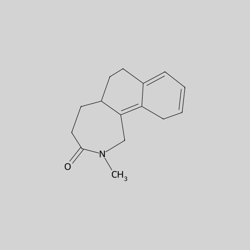 CN1CC2=C3CC=CC=C3CCC2CCC1=O